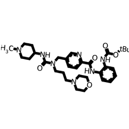 CN1CCC(NC(=O)N(CCCN2CCOCC2)Cc2ccc(C(=O)Nc3ccccc3NC(=O)OC(C)(C)C)nc2)CC1